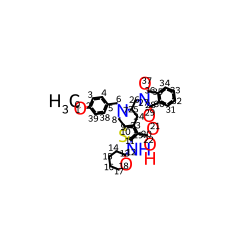 COc1ccc(CN2Cc3sc(NC4CCCCO4)c(C(=O)O)c3CC2CN2C(=O)c3ccccc3C2=O)cc1